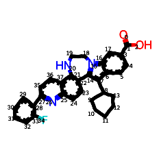 O=C(O)c1ccc2c(C3CCCCC3)c3n(c2c1)CCNc1c-3ccc2nc(-c3ccccc3F)ccc12